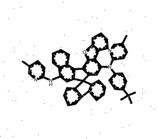 Cc1ccc(Nc2cc3c(c4ccccc24)-c2c(cc(N(c4ccc(C(C)(C)C)cc4)c4ccc(C)cn4)c4c2oc2ccccc24)C32c3ccccc3-c3ccccc32)nc1